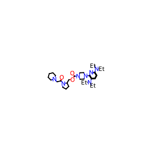 CCN(CC)c1ccc(N(CC)CC)c(N2CCN(C(=O)OCC3CCCN3C(=O)CN3CCCCC3)CC2)n1